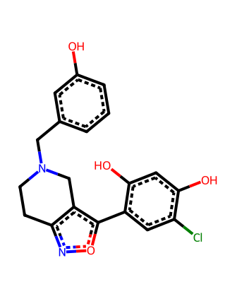 Oc1cccc(CN2CCc3noc(-c4cc(Cl)c(O)cc4O)c3C2)c1